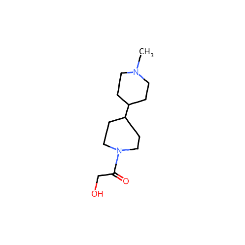 CN1CCC(C2CCN(C(=O)CO)CC2)CC1